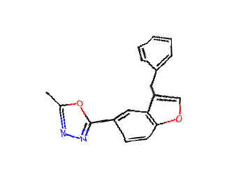 Cc1nnc(-c2ccc3occ(-c4ccccc4)c3c2)o1